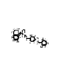 O=C(ON=Cc1ccc(OCc2ccccc2)cc1)N1CCCc2ccccc21